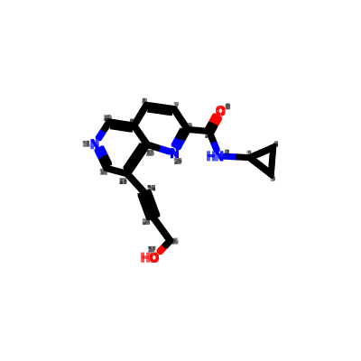 O=C(NC1CC1)c1ccc2cncc(C#CCO)c2n1